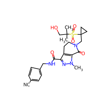 Cn1nc(C(=O)NCc2ccc(C#N)cc2)c2c1C(=O)N(CC1(S(=O)(=O)C(C)(C)CO)CC1)CC2